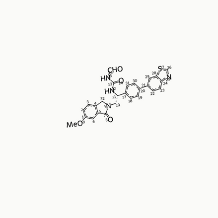 COc1ccc2c(c1)C(=O)N(C[C@H](NC(=O)NC=O)c1ccc(-c3ccc4ncsc4c3)cc1)C2